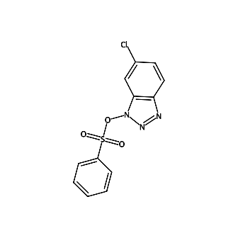 O=S(=O)(On1nnc2ccc(Cl)cc21)c1ccccc1